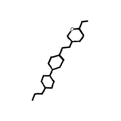 CCCC1CCC(C2CCC(CCC3CCC(CC)OC3)CC2)CC1